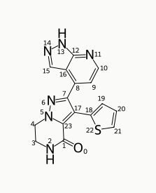 O=C1NCCn2nc(-c3ccnc4[nH]ncc34)c(-c3cccs3)c21